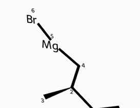 CC[C@@H](C)[CH2][Mg][Br]